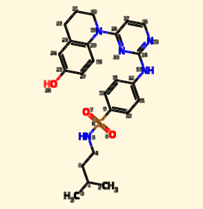 CC(C)CCNS(=O)(=O)c1ccc(Nc2nccc(N3CCCc4cc(O)ccc43)n2)cc1